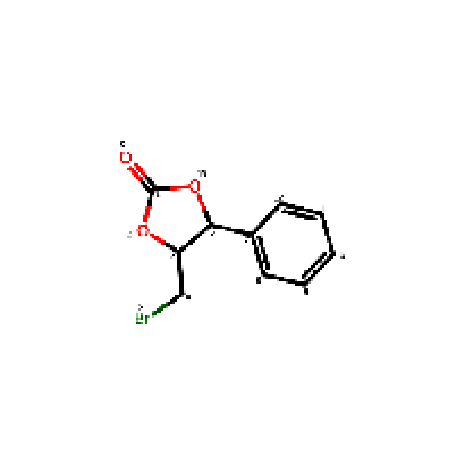 O=C1OC(CBr)C(c2ccccc2)O1